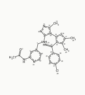 CC(=O)Nc1cc(CNc2nnc(C)n2-c2sc(C)c(C)c2C(=N)c2ccc(Cl)cc2)ccn1